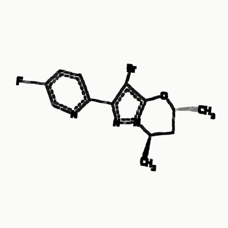 C[C@@H]1C[C@@H](C)n2nc(-c3ccc(F)cn3)c(Br)c2O1